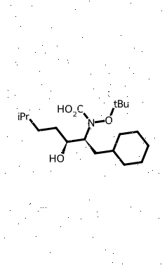 CC(C)CC[C@H](O)[C@H](CC1CCCCC1)N(OC(C)(C)C)C(=O)O